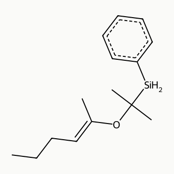 CCC/C=C(\C)OC(C)(C)[SiH2]c1ccccc1